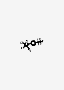 Cn1c(Cl)c(Cl)c(C#N)c1-c1ccc(C(F)(F)C(F)(F)F)cc1